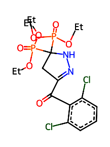 CCOP(=O)(OCC)C1(P(=O)(OCC)OCC)CC(C(=O)c2c(Cl)cccc2Cl)=NN1